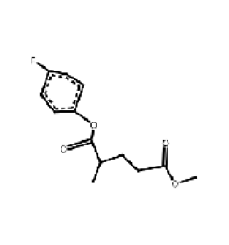 COC(=O)CCC(C)C(=O)Oc1ccc(F)cc1